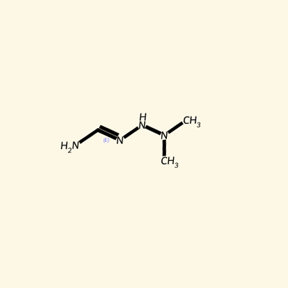 CN(C)N/N=C/N